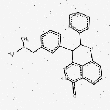 CN(C)Cc1cccc(C2c3n[nH]c(=O)c4cccc(c34)NC2c2ccccn2)c1